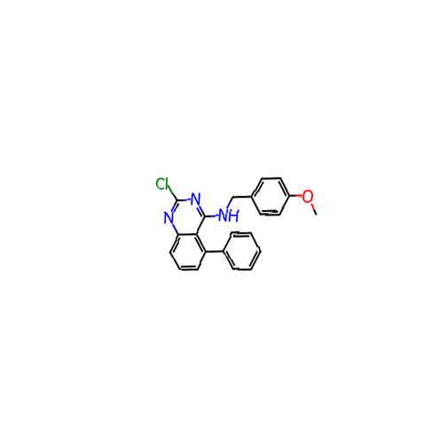 COc1ccc(CNc2nc(Cl)nc3cccc(-c4ccccc4)c23)cc1